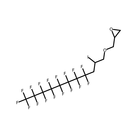 FC(F)(F)C(F)(F)C(F)(F)C(F)(F)C(F)(F)C(F)(F)C(F)(F)C(F)(F)CC(I)COCC1CO1